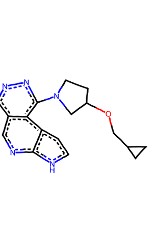 c1cc2c(ncc3cnnc(N4CCC(OCC5CC5)C4)c32)[nH]1